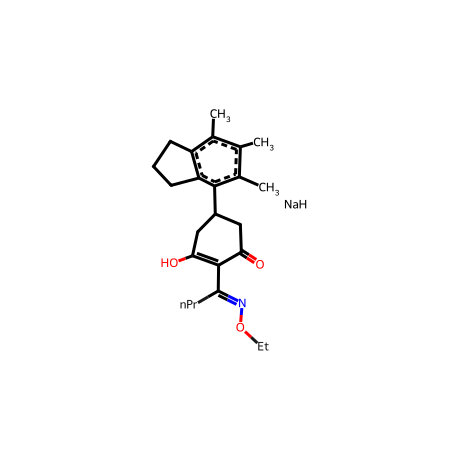 CCC/C(=N\OCC)C1=C(O)CC(c2c(C)c(C)c(C)c3c2CCC3)CC1=O.[NaH]